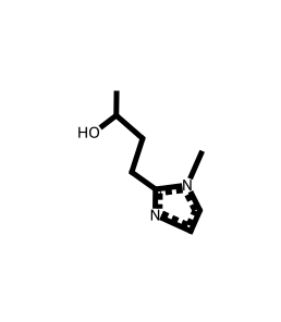 CC(O)CCc1nccn1C